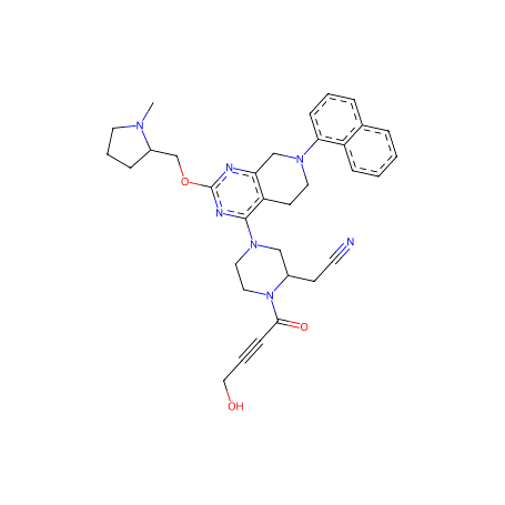 CN1CCCC1COc1nc2c(c(N3CCN(C(=O)C#CCO)C(CC#N)C3)n1)CCN(c1cccc3ccccc13)C2